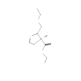 CCOCC1NCC[C@@]1(C)C(=O)OCC